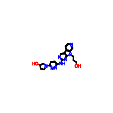 OCCCn1c2cnccc2c2cnc(Nc3ccc(N4CC[C@@H](O)C4)nn3)nc21